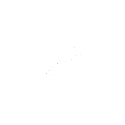 O=S(=O)(c1ccccc1)c1ccc(-c2ccc(/C=C/c3ccc(N(c4ccccc4)c4ccccc4)cc3)cc2)cc1